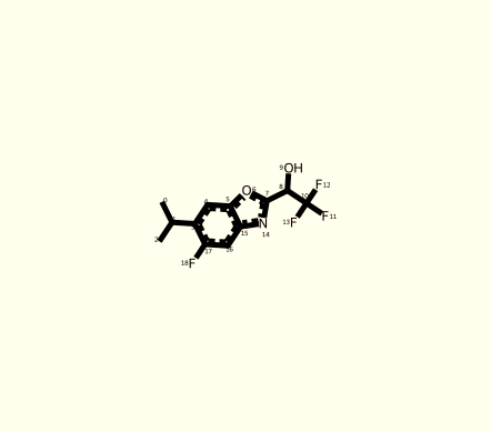 CC(C)c1cc2oc(C(O)C(F)(F)F)nc2cc1F